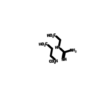 N=C(N)NCC(=O)O.O=C(O)CCC(=O)O